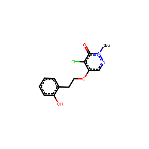 CC(C)(C)n1ncc(OCCc2ccccc2O)c(Cl)c1=O